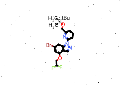 CC(C)(C)[Si](C)(C)OCc1cccc(-n2ncc3c(OCC(F)F)cc(Br)cc32)n1